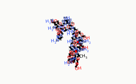 C[C@H](COCCOCCO)CN(CC(=O)N[C@H](COCCOCCO)CN(CC(=O)N[C@H](COCCOCCO)CN(CC(=O)N[C@H](COCCOCCO)CN(CC(=O)N[C@H](COCCOCCO)CN(CC(=O)N[C@H](CCCCN)C(N)=O)C(=O)Cn1ccc(N)nc1=O)C(=O)Cn1cnc2c(N)ncnc21)C(=O)Cn1cnc2c(N)ncnc21)C(=O)Cn1ccc(N)nc1=O)C(=O)Cn1ccc(N)nc1=O